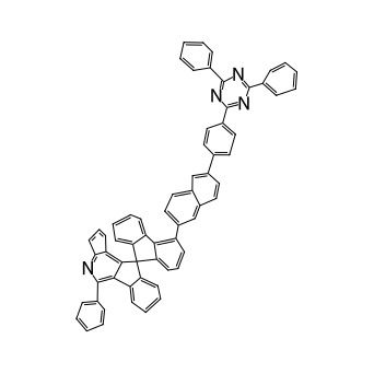 c1ccc(-c2nc(-c3ccccc3)nc(-c3ccc(-c4ccc5cc(-c6cccc7c6-c6ccccc6C76c7ccccc7-c7c(-c8ccccc8)nc8ccccc8c76)ccc5c4)cc3)n2)cc1